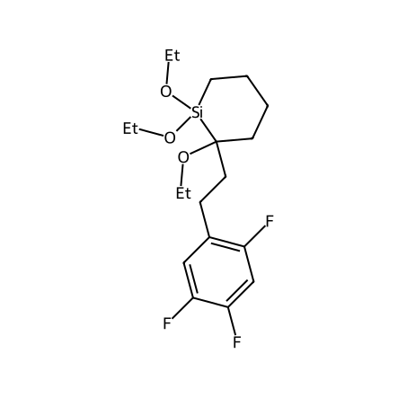 CCOC1(CCc2cc(F)c(F)cc2F)CCCC[Si]1(OCC)OCC